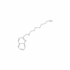 OCCCCCCCOCc1ccc2ccccc2n1